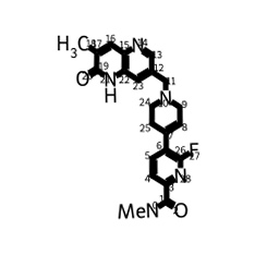 CNC(=O)c1ccc(C2=CCN(Cc3cnc4cc(C)c(=O)[nH]c4c3)CC2)c(F)n1